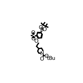 CC(C)(C)OC(=O)N1CCC(CCOc2ccc(B3OC(C)(C)C(C)(C)O3)cc2S(C)(=O)=O)CC1